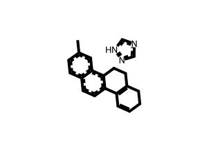 Cc1ccc2ccc3c(c2c1)CCC1=C3C=CCC1.c1nc[nH]n1